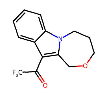 O=C(c1c2n(c3ccccc13)CCCOC2)C(F)(F)F